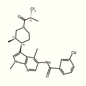 Cc1c(NC(=O)c2cccc(C#N)c2)cnc2c1c([C@@H]1CCN(C(=O)[C@@H](C)C(F)(F)F)C[C@@H]1C)cn2C